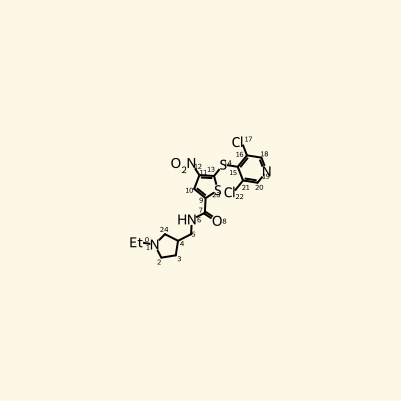 CCN1CCC(CNC(=O)c2cc([N+](=O)[O-])c(Sc3c(Cl)cncc3Cl)s2)C1